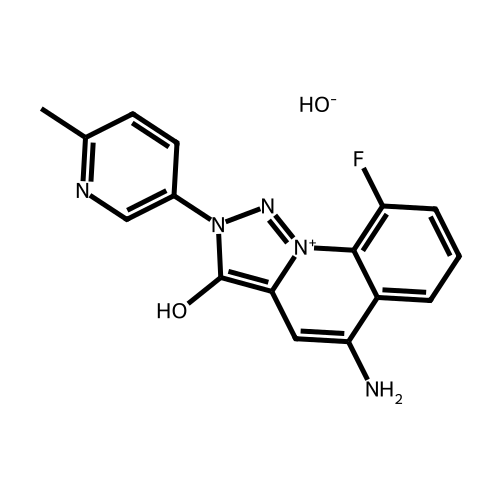 Cc1ccc(-n2n[n+]3c(cc(N)c4cccc(F)c43)c2O)cn1.[OH-]